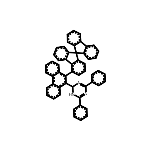 c1ccc(C2=NC(c3c(-c4cccc5c4-c4ccccc4C54c5ccccc5-c5ccccc54)c4ccccc4c4ccccc34)NC(c3ccccc3)=N2)cc1